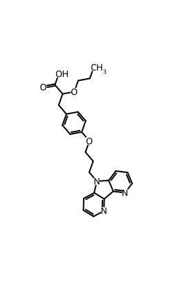 CCCOC(Cc1ccc(OCCCn2c3cccnc3c3ncccc32)cc1)C(=O)O